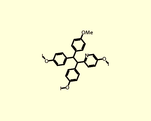 COc1ccc(C(c2ccc(OI)cc2)C(c2ccc(OI)cc2)c2ccc(OI)cn2)cc1